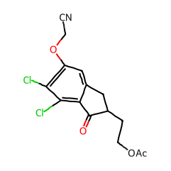 CC(=O)OCCC1Cc2cc(OCC#N)c(Cl)c(Cl)c2C1=O